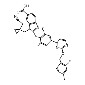 Cc1ccc(COc2nccc(-c3cc(F)c(Cc4nc5ccc(C(=O)O)cc5n4CC4(CC#N)CC4)c(F)c3)n2)c(F)c1